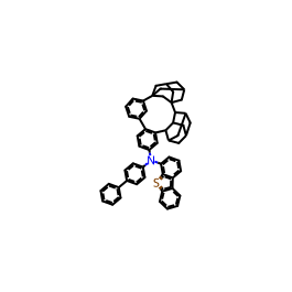 c1ccc(-c2ccc(N(c3ccc4c(c3)C3C5CC6CC(C5)C(C3C6)C35CC6CC(CC(C6)(C3)c3cccc-4c3)C5)c3cccc4c3sc3ccccc34)cc2)cc1